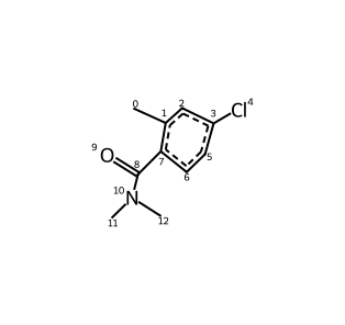 Cc1cc(Cl)ccc1C(=O)N(C)C